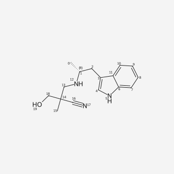 C[C@H](Cc1c[nH]c2ccccc12)NCC(C)(C#N)CO